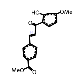 COC(=O)c1ccc(/C=C/C(=O)c2ccc(OC)cc2O)cc1